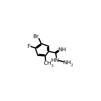 Cc1cc(F)c(Br)cc1C(=N)NN